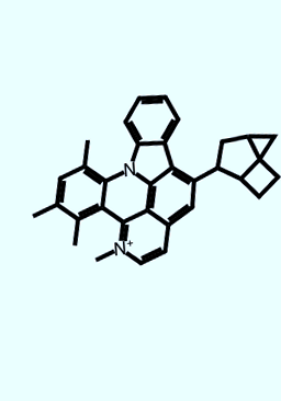 Cc1cc(C)c2c(c1C)c1c3c(cc[n+]1C)cc(C1CC4CC45CCC15)c1c4ccccc4n2c13